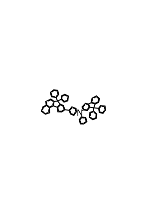 c1ccc(N(c2ccc(-c3ccc4c(c3)C(c3ccccc3)(c3ccccc3)c3ccc5ccccc5c3-4)cc2)c2ccc3c(c2)C(c2ccccc2)(c2ccccc2)c2ccccc2-3)cc1